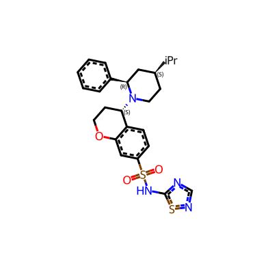 CC(C)[C@H]1CCN([C@H]2CCOc3cc(S(=O)(=O)Nc4ncns4)ccc32)[C@@H](c2ccccc2)C1